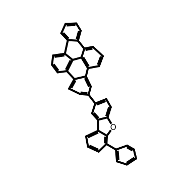 c1ccc(-c2cccc3c2oc2ccc(-c4ccc5c(c4)c4cccc6c7ccccc7c7cccc5c7c64)cc23)cc1